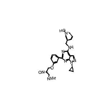 CNC[C@@H](COc1cccc(-c2nc(NCc3ccc[n+](O)c3)c3cnn(C4CC4)c3n2)c1)N=O